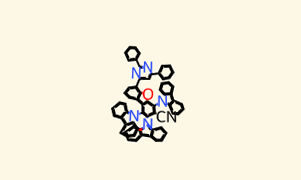 N#Cc1c(-n2c3ccccc3c3ccccc32)c(-n2c3ccccc3c3ccccc32)c2c(oc3c(-c4cc(-c5ccccc5)nc(-c5ccccc5)n4)cccc32)c1-n1c2ccccc2c2ccccc21